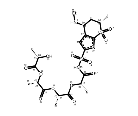 CCN[C@H]1C[C@H](C)S(=O)(=O)c2sc(S(=O)(=O)NC(=O)[C@H](C)OC(=O)[C@H](C)OC(=O)[C@H](C)OC(=O)[C@H](C)O)cc21